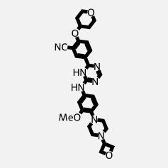 COc1cc(NC2=NC=NC(c3ccc(OC4CCOCC4)c(C#N)c3)N2)ccc1N1CCN(C2COC2)CC1